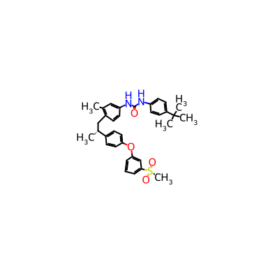 Cc1cc(NC(=O)Nc2ccc(C(C)(C)C)cc2)ccc1C[C@@H](C)c1ccc(Oc2cccc(S(C)(=O)=O)c2)cc1